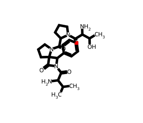 CC(C)C(N)C(=O)N1C(=O)C2(CCCN2C(=O)C2CCCN2C(=O)C(N)C(C)O)C1c1ccccc1